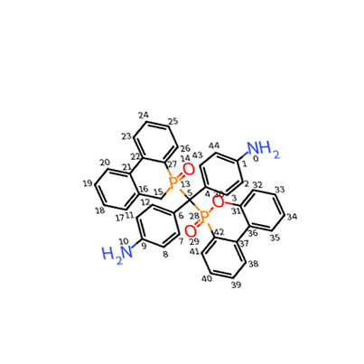 Nc1ccc(C(c2ccc(N)cc2)(P2(=O)Cc3ccccc3-c3ccccc32)P2(=O)Oc3ccccc3-c3ccccc32)cc1